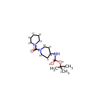 CC(C)(C)OC(=O)NC1CCN(C(=O)N2CCCCC2)CC1